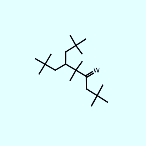 CC(C)(C)C[C](=[W])C(C)(C)C(CC(C)(C)C)CC(C)(C)C